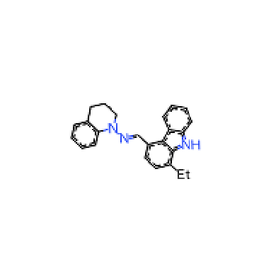 CCc1ccc(C=NN2CCCc3ccccc32)c2c1[nH]c1ccccc12